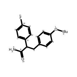 CC(C)(C)Oc1ccc(CC(C(N)=O)c2ccc(F)cc2)cc1